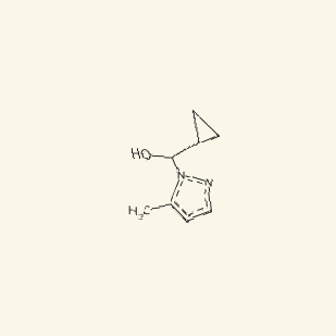 Cc1ccnn1C(O)C1CC1